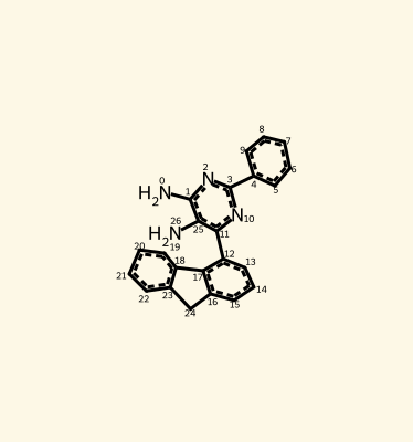 Nc1nc(-c2ccccc2)nc(-c2cccc3c2-c2ccccc2C3)c1N